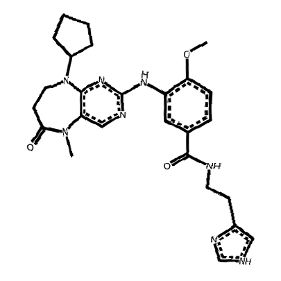 COc1ccc(C(=O)NCCc2c[nH]cn2)cc1Nc1ncc2c(n1)N(C1CCCC1)CCC(=O)N2C